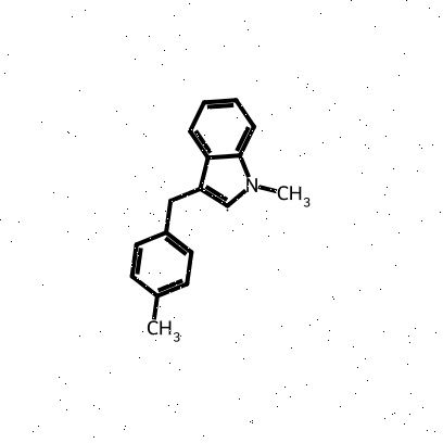 Cc1ccc(Cc2[c]n(C)c3ccccc23)cc1